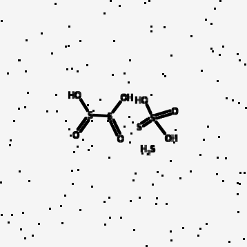 O=S(O)(O)=S.O=S(O)S(=O)O.S